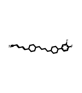 N#CC=CC=CC1CCC(CCCCC2CCC(c3ccc(F)c(F)c3)CC2)CC1